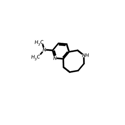 CN(C)c1ccc2c(n1)CCCCNC2